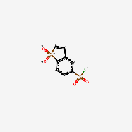 O=S(=O)(Cl)c1ccc2c(c1)C=CS2(=O)=O